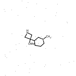 COC1(C2CCCN(C)C2)CNC1